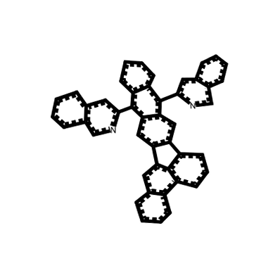 c1ccc2cc(-c3c4ccccc4c(-c4cc5ccccc5cn4)c4cc5c(cc34)-c3cccc4c3c-5cc3ccccc34)ncc2c1